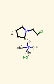 CCCC[N+](CCCC)(CCCC)CCCC.Cl.ClCCN1CCCC1.[I-]